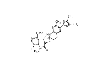 COc1cc([C@@H](C)C(=O)N2CC[C@]3(CCc4cc(-c5nc(C(F)(F)F)n(C)n5)c(C)nc4N3)C2)c(F)cn1